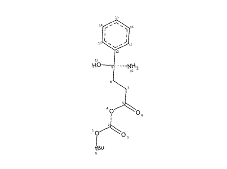 CC(C)(C)OC(=O)OC(=O)CC[C@@](N)(O)c1ccccc1